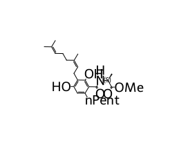 CCCCCc1cc(O)c(CC=C(C)CCC=C(C)C)c(O)c1C(=O)N[C@@H](C)C(=O)OC